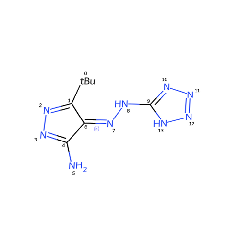 CC(C)(C)C1=NN=C(N)/C1=N/Nc1nnn[nH]1